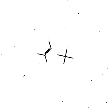 CC(=O)/C=C(/C)O.CCC(CC)(C(C)=O)C(=O)O.[Zr]